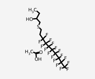 CC(=O)O.CCC(O)CSCCC(F)(F)C(F)(F)C(F)(F)C(F)(F)C(F)(F)C(F)(F)C(F)(F)C(F)(F)F